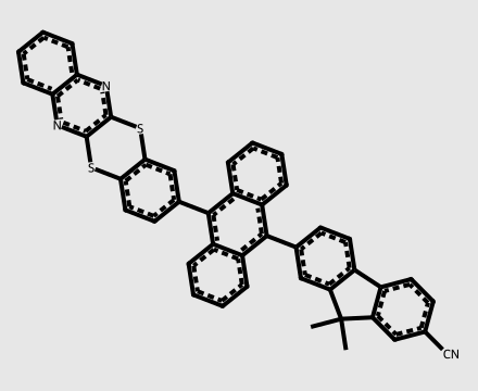 CC1(C)c2cc(C#N)ccc2-c2ccc(-c3c4ccccc4c(-c4ccc5c(c4)Sc4nc6ccccc6nc4S5)c4ccccc34)cc21